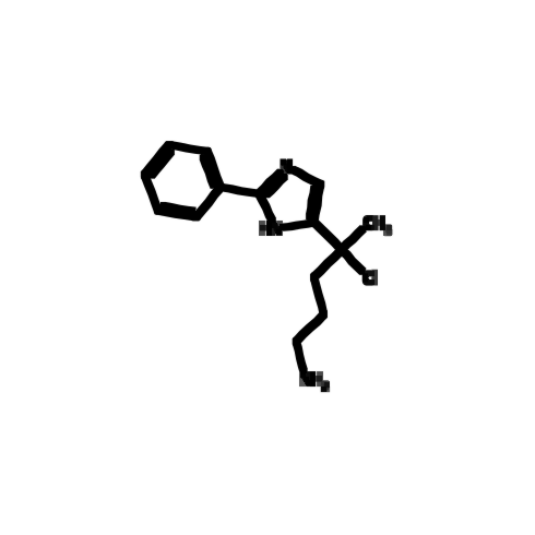 CC(Cl)(CCCN)c1cnc(-c2ccccc2)[nH]1